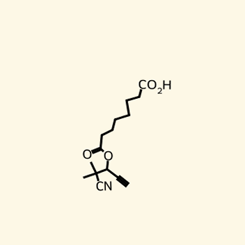 C#CC(OC(=O)CCCCCCC(=O)O)C(C)(C)C#N